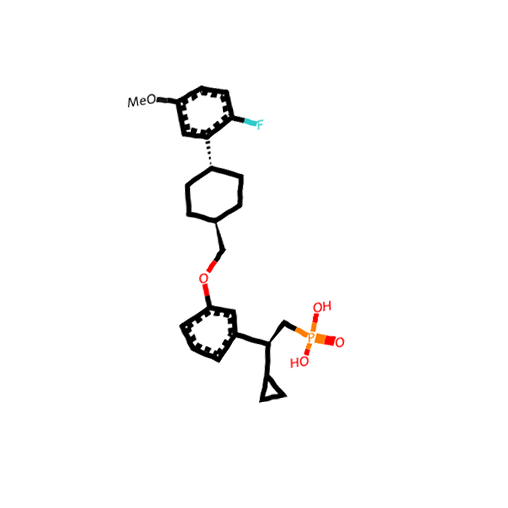 COc1ccc(F)c([C@H]2CC[C@H](COc3cccc([C@@H](CP(=O)(O)O)C4CC4)c3)CC2)c1